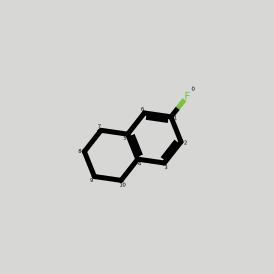 Fc1ccc2c(c1)[CH]CCC2